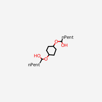 CCCCCC(O)OC1CCC(OC(O)CCCCC)CC1